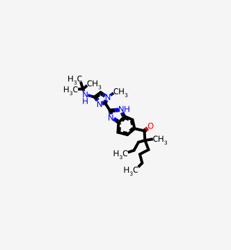 CCCCC(C)(CCC)C(=O)c1ccc2nc(-c3nc(NC(C)(C)C)cn3C)[nH]c2c1